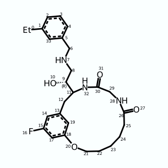 CCc1cccc(CNC[C@@H](O)C2Cc3cc(F)cc(c3)OCCCCCC(=O)NCC(=O)N2)c1